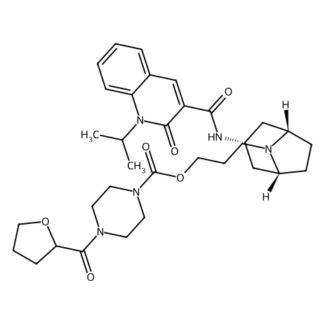 CC(C)n1c(=O)c(C(=O)N[C@H]2C[C@H]3CC[C@@H](C2)N3CCCOC(=O)N2CCN(C(=O)C3CCCO3)CC2)cc2ccccc21